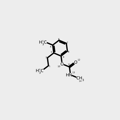 CCCc1c(C)cccc1OC(=O)NC